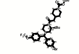 CC(C)(C)OC(=O)N1CCC(CC(=O)N2CCN(C(c3ccc(OC(F)(F)F)cc3)c3ccc(Br)cn3)C[C@@H]2C(C)(C)C)CC1